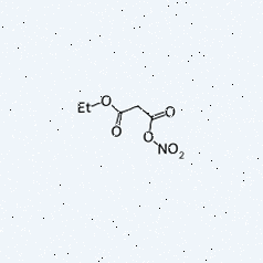 CCOC(=O)CC(=O)O[N+](=O)[O-]